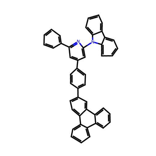 c1ccc(-c2cc(-c3ccc(-c4ccc5c6ccccc6c6ccccc6c5c4)cc3)cc(-n3c4ccccc4c4ccccc43)n2)cc1